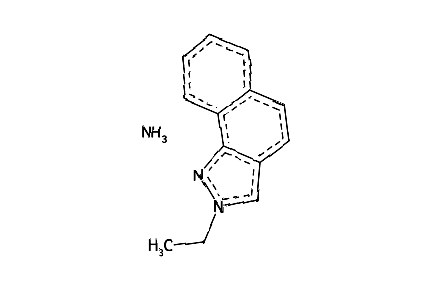 CCn1cc2ccc3ccccc3c2n1.N